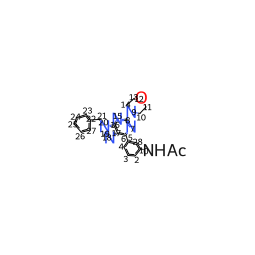 CC(=O)Nc1cccc(-c2nc(N3CCOCC3)nc3c2ncn3Cc2ccccc2)c1